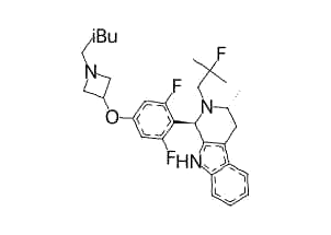 CCC(C)CN1CC(Oc2cc(F)c([C@@H]3c4[nH]c5ccccc5c4C[C@@H](C)N3CC(C)(C)F)c(F)c2)C1